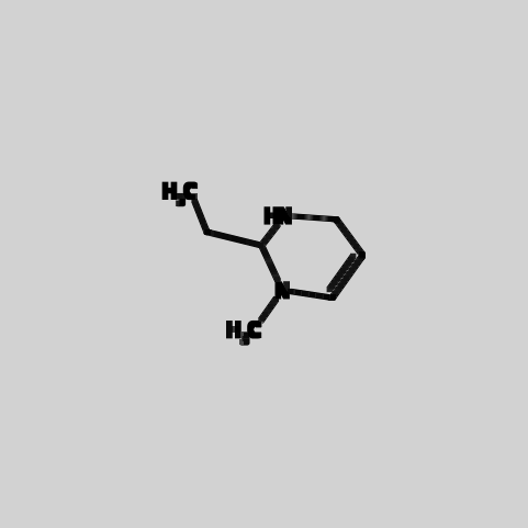 CCC1NCC=CN1C